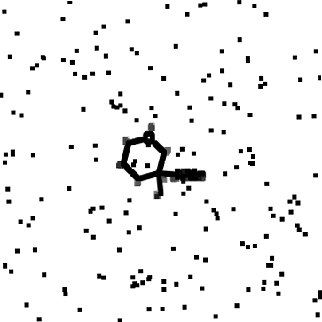 CNC1(C)CCCOC1